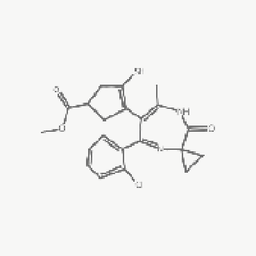 COC(=O)C1CC(S)=C(C2=C(C)NC(=O)C3(CC3)N=C2c2ccccc2Cl)C1